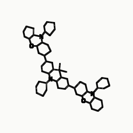 CC1(C)C2CC(C3CCC4C(C3)OC3CCCCC3N4C3CCCCC3)CCC2N(C2CCCCC2)C2CCC(C3CCC4C(C3)OC3CCCCC3N4C3CCCCC3)CC21